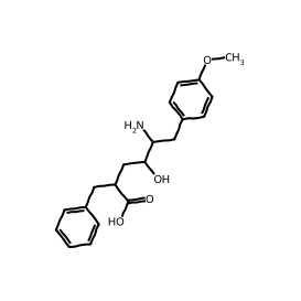 COc1ccc(CC(N)C(O)CC(Cc2ccccc2)C(=O)O)cc1